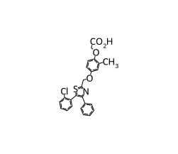 Cc1cc(OCc2nc(-c3ccccc3)c(-c3ccccc3Cl)s2)ccc1OCC(=O)O